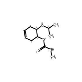 CNC(=O)OC1CC=CCC1OC(C)C